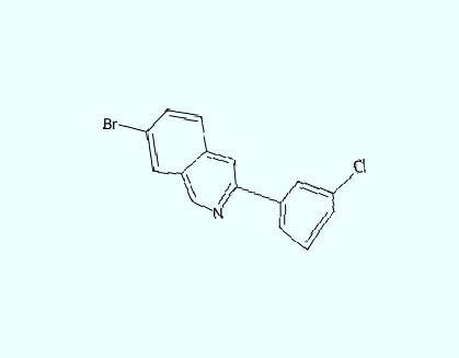 Clc1cccc(-c2cc3ccc(Br)cc3cn2)c1